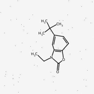 CCn1c(=O)oc2ccc(C(C)(C)C)cc21